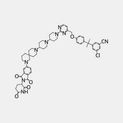 CC(C)(c1ccc(OCc2ccnc(N3CCC(N4CCC(N5CCC6(CCCN(c7ccc8c(c7)C(=O)N(C7CCC(=O)NC7=O)C8=O)C6)CC5)CC4)CC3)n2)cc1)c1cc(Cl)cc(C#N)c1